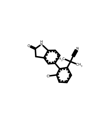 CC(C)(C#N)c1cccc(Cl)c1-c1ccc2c(c1)CC(=O)N2